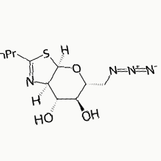 CCCC1=N[C@@H]2[C@@H](O)[C@H](O)[C@@H](CN=[N+]=[N-])O[C@@H]2S1